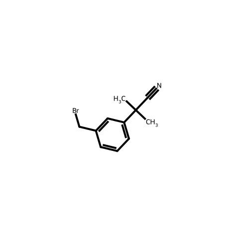 CC(C)(C#N)c1cccc(CBr)c1